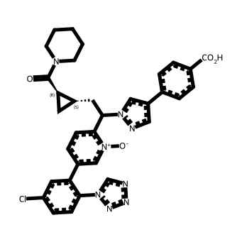 O=C(O)c1ccc(-c2cnn(C(C[C@@H]3C[C@H]3C(=O)N3CCCCC3)c3ccc(-c4cc(Cl)ccc4-n4cnnn4)c[n+]3[O-])c2)cc1